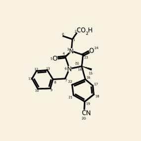 CC(C(=O)O)N1C(=O)N(Cc2ccccc2)[C@@](C)(c2ccc(C#N)cc2)C1=O